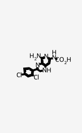 Nc1nc(NC(=O)O)cc2c1N=C(c1ccc(Cl)cc1Cl)CN2